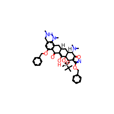 CNCc1cc(OCc2ccccc2)c2c(c1N(C)C)C[C@H]1C[C@H]3[C@H](N(C)C)c4onc(OCc5ccccc5)c4C(=O)C3(O[Si](C)(C)C(C)(C)C)C(O)=C1C2=O